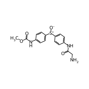 COC(=O)Nc1ccc([S+]([O-])c2ccc(NC(=O)CN)cc2)cc1